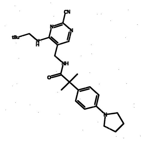 CC(C)(C)CNc1nc(C#N)ncc1CNC(=O)C(C)(C)c1ccc(N2CCCC2)cc1